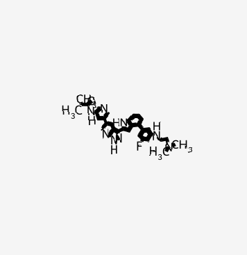 CC(C)C(=O)Nc1cncc(-c2cnc3[nH]nc(-c4cc5c(-c6cc(F)cc(NCCN(C)C)c6)cccc5[nH]4)c3c2)c1